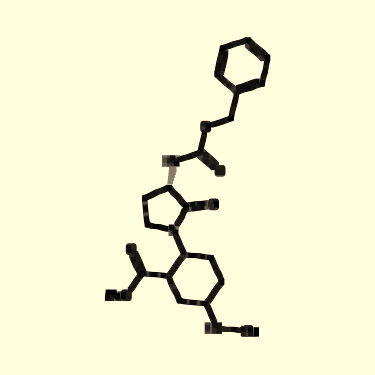 COC(=O)C1CC(NC(C)(C)C)CCC1N1CC[C@H](NC(=O)OCc2ccccc2)C1=O